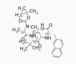 C=CC(N[C@@H](Cc1ccc2ccccc2c1)C(=O)O)C(=O)[C@@H](NC(=O)[C@H](C)N(C)C(=O)OC(C)(C)C)C(C)(C)C